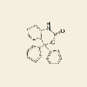 O=C1Nc2ccccc2C(c2ccccc2)(c2ccccc2)O1